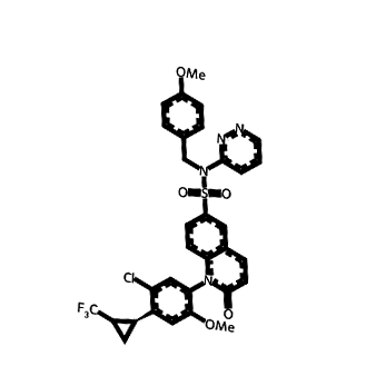 COc1ccc(CN(c2cccnn2)S(=O)(=O)c2ccc3c(ccc(=O)n3-c3cc(Cl)c([C@H]4CC4C(F)(F)F)cc3OC)c2)cc1